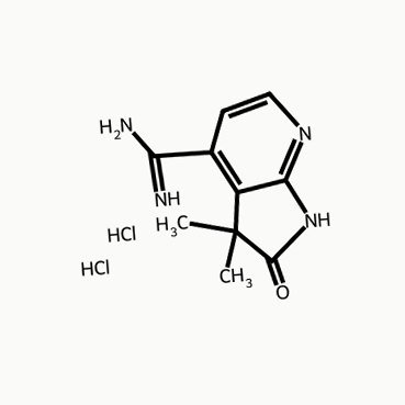 CC1(C)C(=O)Nc2nccc(C(=N)N)c21.Cl.Cl